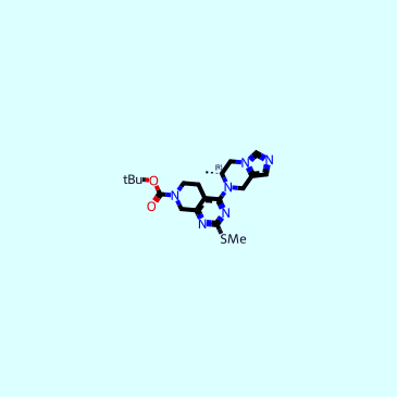 CSc1nc2c(c(N3Cc4cncn4C[C@H]3C)n1)CCN(C(=O)OC(C)(C)C)C2